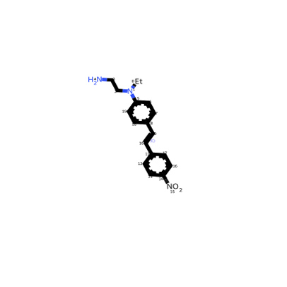 CCN(CCN)c1ccc(/C=C/c2ccc([N+](=O)[O-])cc2)cc1